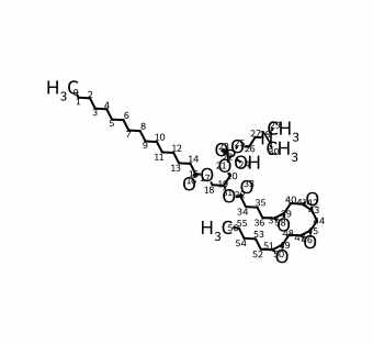 CCCCCCCCCCCCCCCC(=O)OCC(COP(=O)(O)OCCN(C)C)OC(=O)CCCC1OC1CC1OC1CC1OC1CC1OC1CCCCC